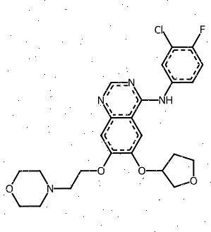 Fc1ccc(Nc2ncnc3cc(OCCN4CCOCC4)c(OC4CCOC4)cc23)cc1Cl